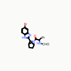 CC(C)C(NC=O)C(=O)N1C2CCC(C2)C1c1nc2cc(Br)ccc2[nH]1